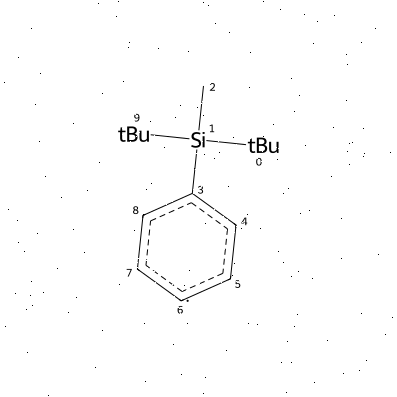 CC(C)(C)[Si](C)(c1cc[c]cc1)C(C)(C)C